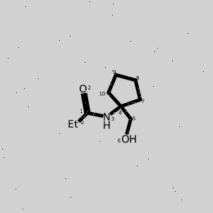 CCC(=O)NC1(CO)CCCC1